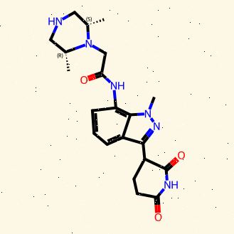 C[C@@H]1CNC[C@H](C)N1CC(=O)Nc1cccc2c(C3CCC(=O)NC3=O)nn(C)c12